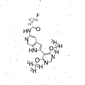 [2H]C([2H])([2H])Oc1ncnc(OC([2H])([2H])[2H])c1-c1cc2cc(NC(=O)[C@@H]3C[C@@H]3F)ncc2[nH]1